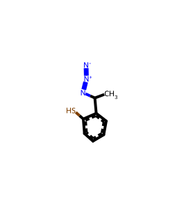 CC(N=[N+]=[N-])c1ccccc1S